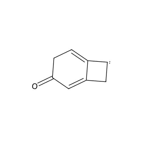 O=C1C=C2C[C]C2=CC1